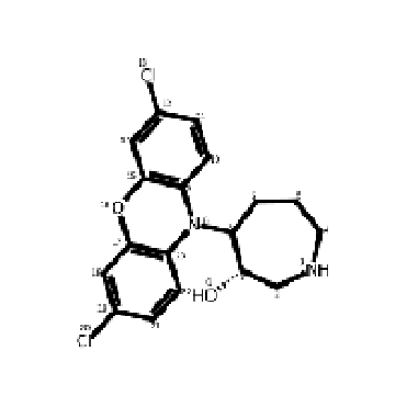 O[C@H]1CNCCCC1N1c2ccc(Cl)cc2Oc2cc(Cl)ccc21